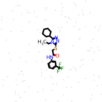 CCn1c(SCC(=O)Nc2cccc(C(F)(F)F)c2)nnc1C1CCCCC1